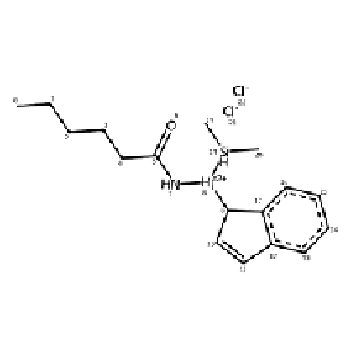 CCCCCC(=O)[NH][Hf+2]([CH]1C=Cc2ccccc21)[SiH](C)C.[Cl-].[Cl-]